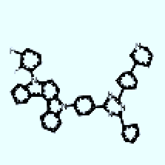 Fc1cccc(-n2c3ccccc3c3c4c5ccccc5n(-c5ccc(-c6nc(-c7ccccc7)nc(-c7ccc(-c8cccnc8)cc7)n6)cc5)c4ccc32)c1F